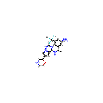 CC(Nc1ncnn2cc(C3CNCCO3)cc12)c1cc(N)cc(C(F)(F)F)c1